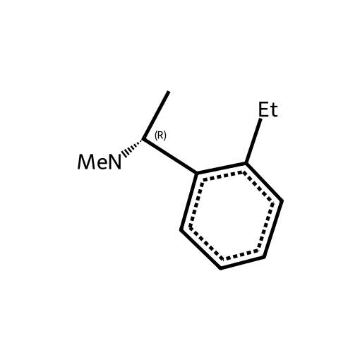 CCc1ccccc1[C@@H](C)NC